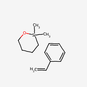 C=Cc1ccccc1.C[Si]1(C)CCCCO1